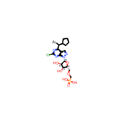 CC(=O)C(c1nc(Cl)nc2c1cnn2[C@@H]1O[C@H](COCP(=O)(O)O)[C@@H](O)[C@H]1O)C1CCCC1